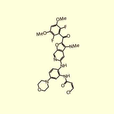 CNc1c(C(=O)c2c(F)c(OC)cc(OC)c2F)oc2cnc(Nc3ccc(N4CCOCC4)cc3NC(=O)/C=C\Cl)cc12